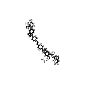 COc1cc2nn(C3CCC(CCN4CCC(n5ccc6cc(N7CCC(=O)NC7=O)ccc65)CC4)CC3)cc2cc1C(=O)Nc1cnc2cccnn12